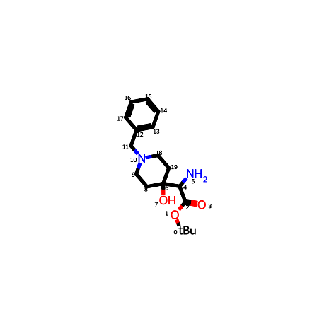 CC(C)(C)OC(=O)C(N)C1(O)CCN(Cc2ccccc2)CC1